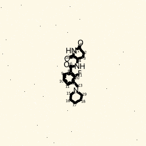 O=C1CCC(NC(=O)c2cccc(CN3CCCCC3)c2F)C(=O)N1